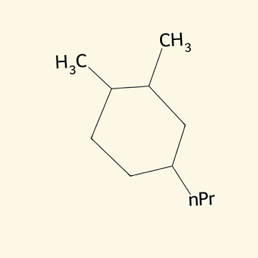 C[CH]CC1CCC(C)C(C)C1